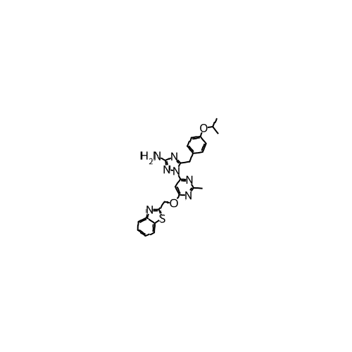 Cc1nc(OCc2nc3ccccc3s2)cc(-n2nc(N)nc2Cc2ccc(OC(C)C)cc2)n1